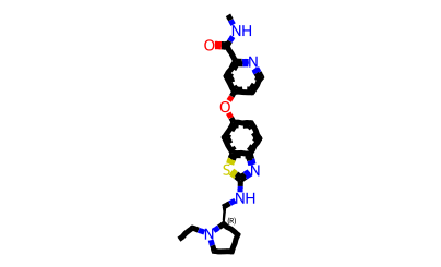 CCN1CCC[C@@H]1CNc1nc2ccc(Oc3ccnc(C(=O)NC)c3)cc2s1